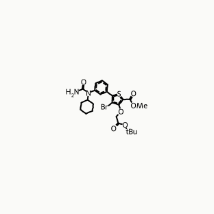 COC(=O)c1sc(-c2cccc(N(C(N)=O)C3CCCCC3)c2)c(Br)c1OCC(=O)OC(C)(C)C